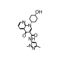 Cc1cc(NC(=O)c2cn([C@H]3CC[C@H](O)CC3)c3ncccc3c2=O)n(C)n1